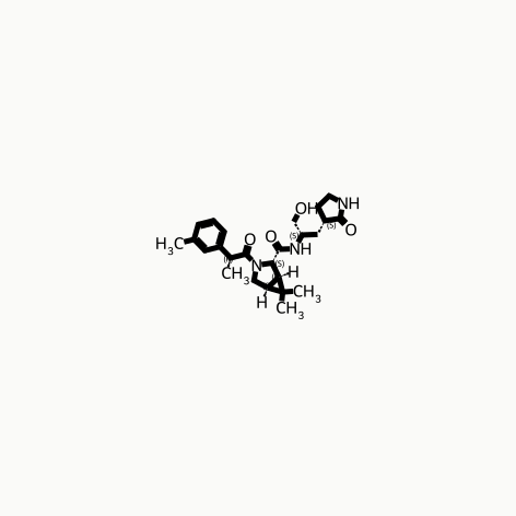 Cc1cccc([C@@H](C)C(=O)N2C[C@H]3[C@@H]([C@H]2C(=O)N[C@H](CO)C[C@@H]2CCNC2=O)C3(C)C)c1